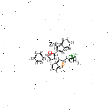 CCC1=PC2=CC=CC2=C1.[Cl-].[Cl-].[Zr+2][CH]1C(c2ccc(-c3ccccc3)o2)=Cc2ccccc21